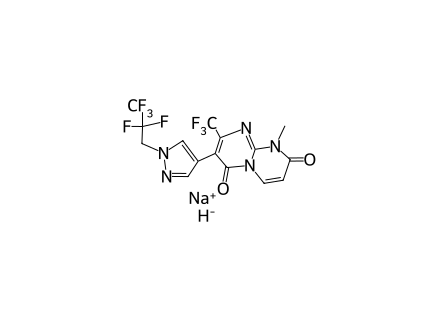 Cn1c(=O)ccn2c(=O)c(-c3cnn(CC(F)(F)C(F)(F)F)c3)c(C(F)(F)F)nc12.[H-].[Na+]